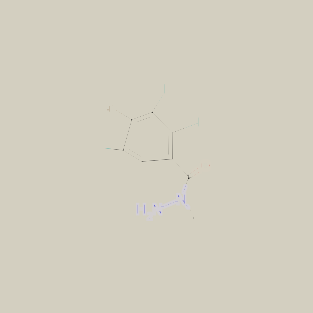 CN(N)C(=O)c1cc(F)c(Br)c(F)c1F